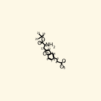 COC(=O)CCc1ccc2oc(CC(N)C(=O)OC(C)(C)C)cc2c1